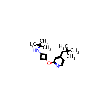 CC(C)(C)Cc1ccnc(O[C@H]2C[C@@H](NC(C)(C)C)C2)c1